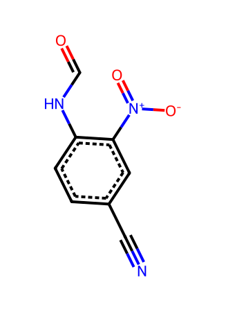 N#Cc1ccc(NC=O)c([N+](=O)[O-])c1